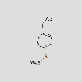 CSSc1ccc(CC(C)=O)cc1